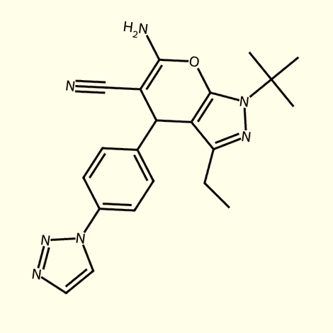 CCc1nn(C(C)(C)C)c2c1C(c1ccc(-n3ccnn3)cc1)C(C#N)=C(N)O2